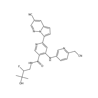 CC(C)(O)C(F)CNC(=O)c1cnc(-c2ccc3cc(C#N)cnn23)cc1Nc1ccc(CC#N)nc1